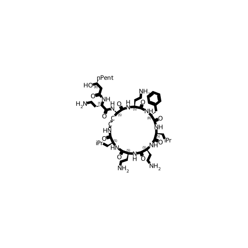 CCCCC[C@@H](O)CC(=O)N[C@@H](CCN)C(=O)N[C@H]1CCNC(=O)[C@H](CC(C)C)NC(=O)[C@H](CCN)NC(=O)[C@H](CCN)NC(=O)[C@H](CC(C)C)NC(=O)[C@@H](Cc2ccccc2)NC(=O)[C@H](CCN)NC1=O